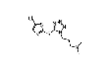 CN(C)CCCn1nnnc1Sc1ncc(Cl)s1